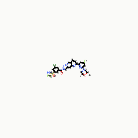 C[C@@H]1CN(c2cc(F)cc(-c3ccc4cnc(CNC(=O)c5cc(Cl)cc([S@](=N)(=O)C(F)F)c5)cc4n3)n2)C[C@H](C)O1